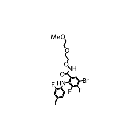 COCCOCCONC(=O)c1cc(Br)c(F)c(F)c1Nc1ccc(I)cc1F